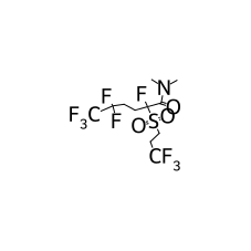 CN(C)C(=O)C(F)(CCC(F)(F)C(F)(F)F)S(=O)(=O)CCC(F)(F)F